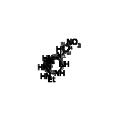 CCNC12CNCCNCC(NCc3ccc([N+](=O)[O-])cc3)(CNCCNC1)CNCCNC2